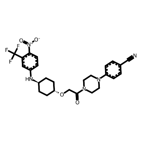 N#Cc1ccc(N2CCN(C(=O)CO[C@H]3CC[C@H](Nc4ccc([N+](=O)[O-])c(C(F)(F)F)c4)CC3)CC2)cc1